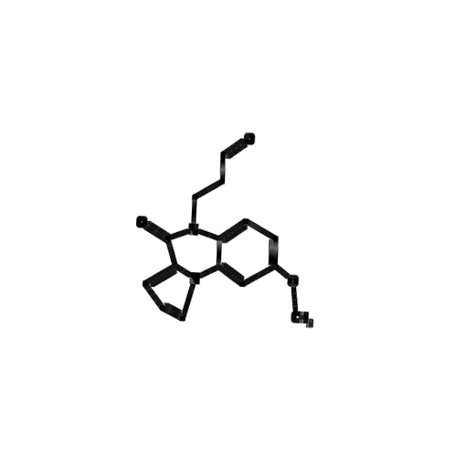 COc1ccc2c(c1)n1cccc1c(=O)n2CCC=O